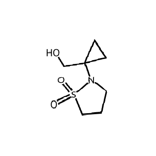 O=S1(=O)CCCN1C1(CO)CC1